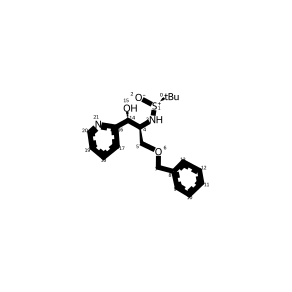 CC(C)(C)[S@@+]([O-])N[C@@H](COCc1ccccc1)[C@@H](O)c1ccccn1